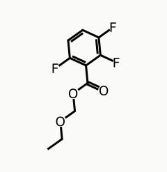 CCOCOC(=O)c1c(F)ccc(F)c1F